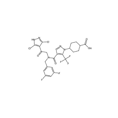 O=C(CN(Cc1cc(F)cc(F)c1)C(=O)c1cnn(C2CCC(C(=O)O)CC2)c1C(F)(F)F)c1c(Cl)n[nH]c1Cl